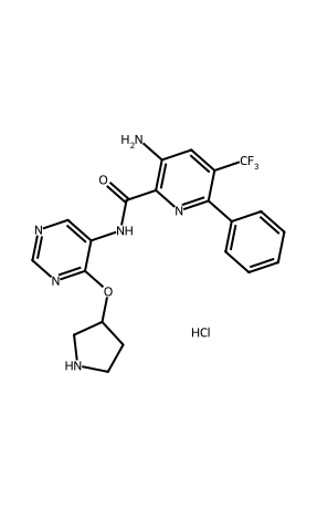 Cl.Nc1cc(C(F)(F)F)c(-c2ccccc2)nc1C(=O)Nc1cncnc1OC1CCNC1